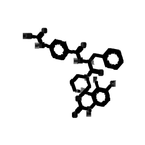 O=C(O)Nc1ccc(C(=O)N[C@@H](Cc2ccccc2)C(=O)N2CCC[C@@]3(C2)OC(=O)Nc2ccc(Cl)c(F)c23)cc1